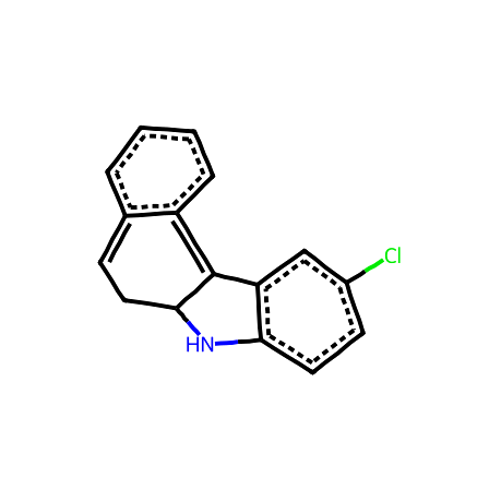 Clc1ccc2c(c1)C1=c3ccccc3=CCC1N2